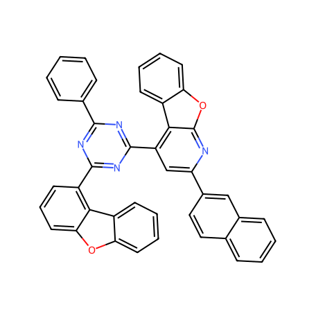 c1ccc(-c2nc(-c3cccc4oc5ccccc5c34)nc(-c3cc(-c4ccc5ccccc5c4)nc4oc5ccccc5c34)n2)cc1